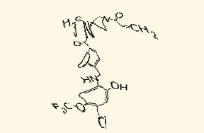 C=CC(=O)N1CC(N(C)C(=O)c2ccc(CNc3cc(OC(F)(F)F)c(Cl)cc3O)o2)C1